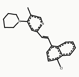 Cc1cnc(C=Cc2ccc(Cl)c3ccccc23)cc1N1CCCCC1